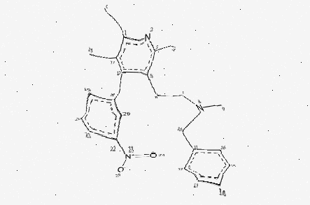 Cc1nc(C)c(CCN(C)Cc2ccccc2)c(-c2cccc([N+](=O)[O-])c2)c1C